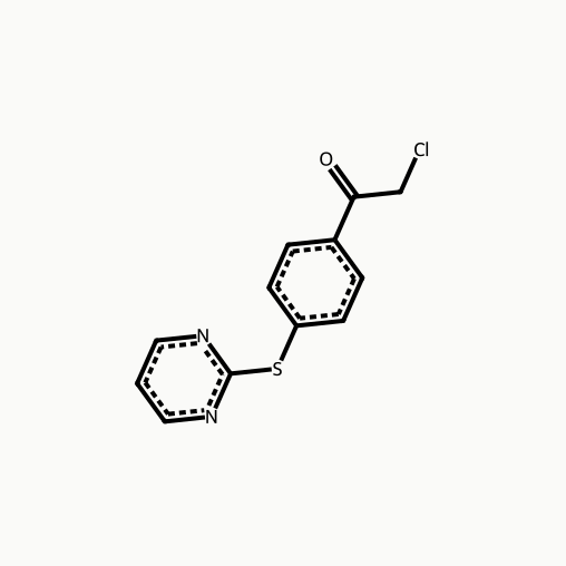 O=C(CCl)c1ccc(Sc2ncccn2)cc1